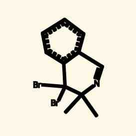 CC1(C)N=Cc2ccccc2C1(Br)Br